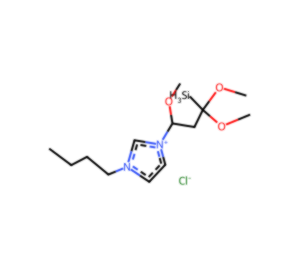 CCCCn1cc[n+](C(CC([SiH3])(OC)OC)OC)c1.[Cl-]